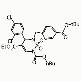 CCCCOC(=O)N1C=C(C(=O)OCC)C(c2ccc(Cl)cc2Cl)N(Cc2ccc(C(=O)OC(C)(C)C)cc2)S1(=O)=O